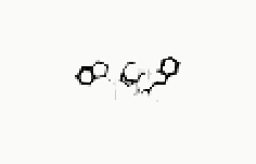 CCN(C(=O)c1cc2ccccc2[nH]1)C12COCC(C1)[C@@H](N[C@@H]1CCc3ccccc31)C2